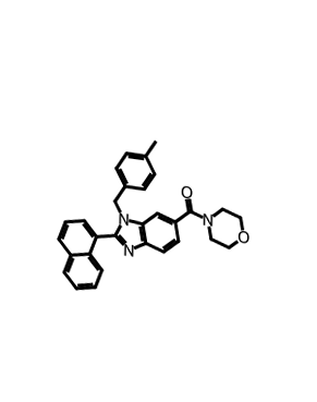 Cc1ccc(Cn2c(-c3cccc4ccccc34)nc3ccc(C(=O)N4CCOCC4)cc32)cc1